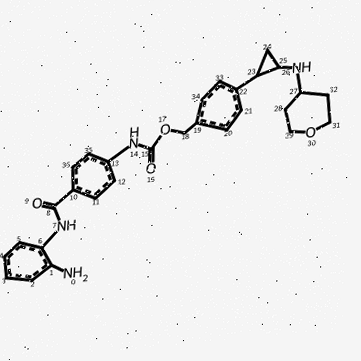 Nc1ccccc1NC(=O)c1ccc(NC(=O)OCc2ccc(C3CC3NC3CCOCC3)cc2)cc1